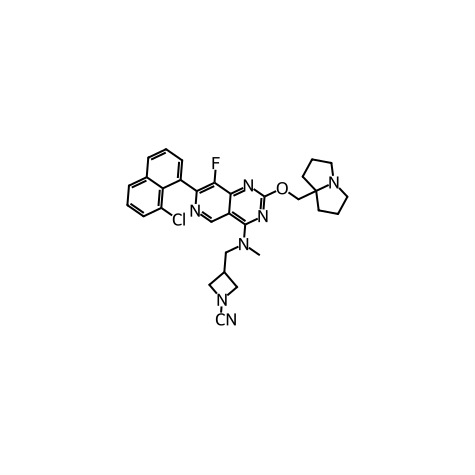 CN(CC1CN(C#N)C1)c1nc(OCC23CCCN2CCC3)nc2c(F)c(-c3cccc4cccc(Cl)c34)ncc12